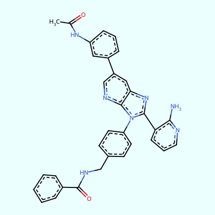 CC(=O)Nc1cccc(-c2cnc3c(c2)nc(-c2cccnc2N)n3-c2ccc(CNC(=O)c3ccccc3)cc2)c1